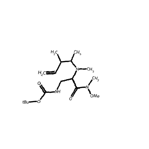 C=CC(C)C(C)N(C)C(CNC(=O)OC(C)(C)C)C(=O)N(C)OC